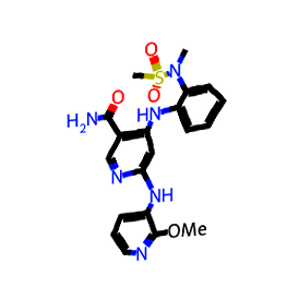 COc1ncccc1Nc1cc(Nc2ccccc2N(C)S(C)(=O)=O)c(C(N)=O)cn1